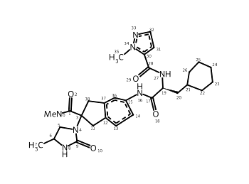 CNC(=O)C1(N2CC(C)NC2=O)Cc2ccc(NC(=O)[C@H](CC3CCCCC3)NC(=O)c3ccnn3C)cc2C1